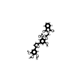 COc1cc(C2CCC(c3cc(OC)c(OCCN4C(=O)c5ccccc5C4=O)c(S(C)(=O)=O)c3)O2)cc(OC)c1OC